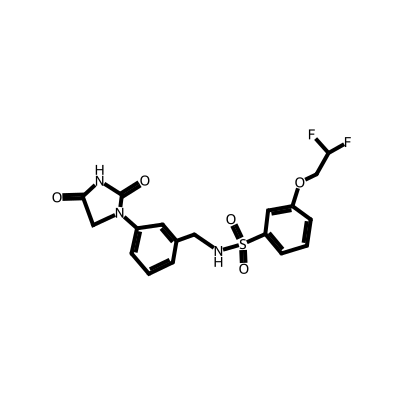 O=C1CN(c2cccc(CNS(=O)(=O)c3cccc(OCC(F)F)c3)c2)C(=O)N1